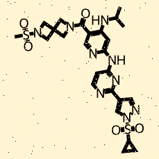 CC(C)Nc1cc(Nc2ccnc(-c3cnn(S(=O)(=O)C4CC4)c3)n2)ncc1C(=O)N1CC2(C1)CN(S(C)(=O)=O)C2